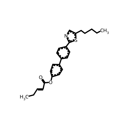 CCC=CC(=O)Oc1ccc(-c2ccc(-c3ncc(CCCCC)s3)cc2)cc1